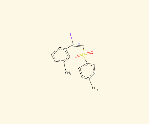 Cc1ccc(S(=O)(=O)/C=C(/I)c2cccc(C)c2)cc1